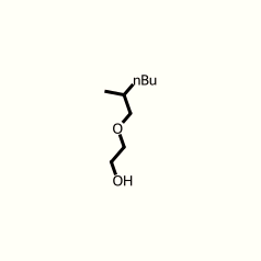 CCCCC(C)COCCO